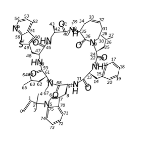 C=CC(C)(C)n1cc(C[C@@H]2NC(=O)[C@H](Cc3ccccc3)NC(=O)[C@H](CC(C)C)N3CC/C=C\C[C@@H](C3=O)N(C)C(=O)[C@H](C)NC(=O)[C@H](Cc3cc4cccnc4s3)NC(=O)[C@H](CC(C)C)N(C)C2=O)c2ccccc21